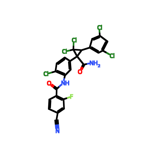 N#Cc1ccc(C(=O)Nc2cc(C3(C(N)=O)C(c4cc(Cl)cc(Cl)c4)C3(Cl)Cl)ccc2Cl)c(F)c1